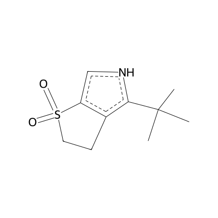 CC(C)(C)c1[nH]cc2c1CCS2(=O)=O